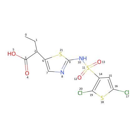 CCC(C(=O)O)c1cnc(NS(=O)(=O)c2cc(Cl)sc2Cl)s1